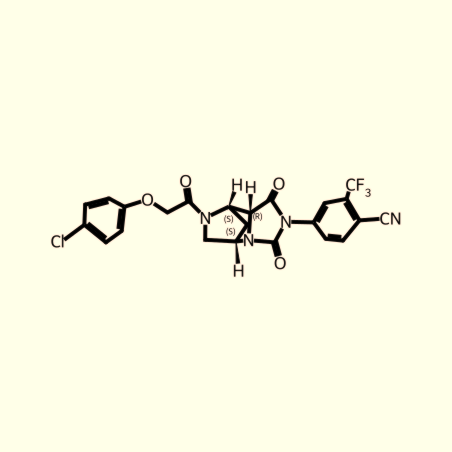 N#Cc1ccc(N2C(=O)[C@H]3[C@@H]4C[C@@H](CN4C(=O)COc4ccc(Cl)cc4)N3C2=O)cc1C(F)(F)F